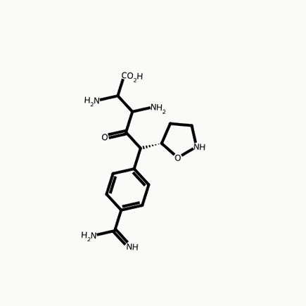 N=C(N)c1ccc(C(C(=O)C(N)C(N)C(=O)O)[C@@H]2CCNO2)cc1